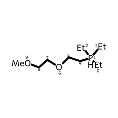 CC[PH](CC)(CC)CCOCCOC